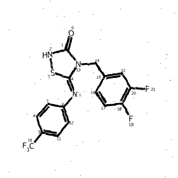 O=c1[nH]s/c(=N\c2ccc(C(F)(F)F)cc2)n1Cc1ccc(F)c(F)c1